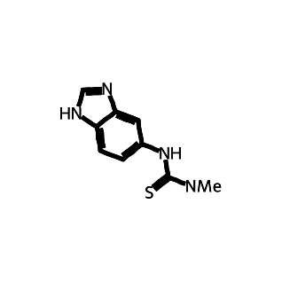 CNC(=S)Nc1ccc2[nH]cnc2c1